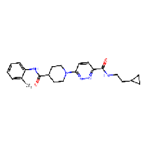 O=C(NCCC1CC1)c1ccc(N2CCC(C(=O)Nc3ccccc3C(F)(F)F)CC2)nn1